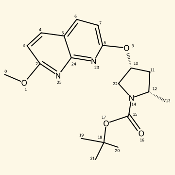 COc1ccc2ccc(O[C@@H]3C[C@H](C)N(C(=O)OC(C)(C)C)C3)nc2n1